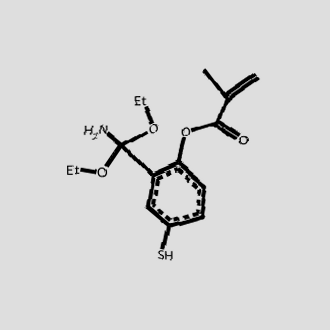 C=C(C)C(=O)Oc1ccc(S)cc1C(N)(OCC)OCC